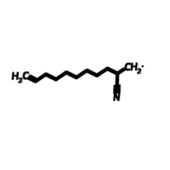 [CH2]C(C#N)CCCCCCCC=C